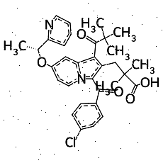 C[C@@H](Oc1ccn2c(C(=O)c3ccc(Cl)cc3)c(CC(C)(C)C(=O)O)c(C(=O)C(C)(C)C)c2c1)c1ccccn1